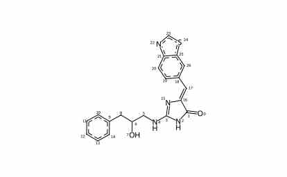 O=C1NC(NCC(O)Cc2ccccc2)=N/C1=C\c1ccc2ncsc2c1